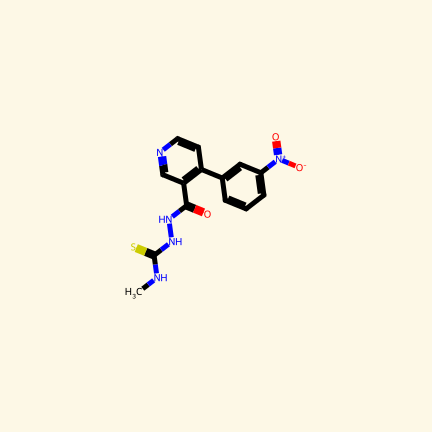 CNC(=S)NNC(=O)c1cnccc1-c1cccc([N+](=O)[O-])c1